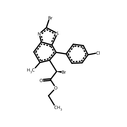 CCOC(=O)[C@H](Br)c1c(C)cc2nc(Br)sc2c1-c1ccc(Cl)cc1